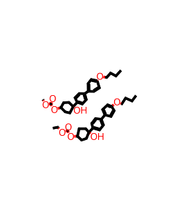 CCCCOc1ccc(-c2ccc(C3(O)CCC(OC(=O)OC)CC3)cc2)cc1.CCCCOc1ccc(-c2ccc(C3(O)CCC(OC(=O)OCC)CC3)cc2)cc1